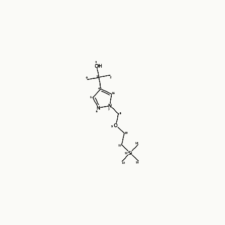 CC(C)(O)c1cnn(COCC[Si](C)(C)C)c1